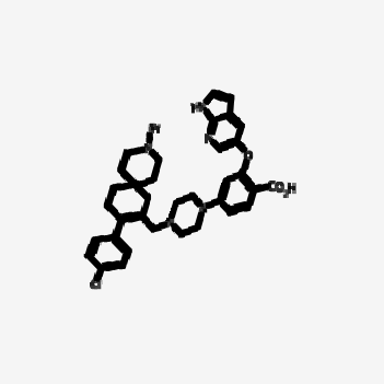 CC(C)N1CCC2(CCC(c3ccc(Cl)cc3)=C(CN3CCN(c4ccc(C(=O)O)c(Oc5cnc6[nH]ccc6c5)c4)CC3)C2)CC1